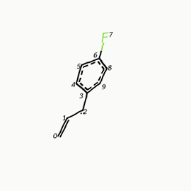 C=C[C]c1ccc(F)cc1